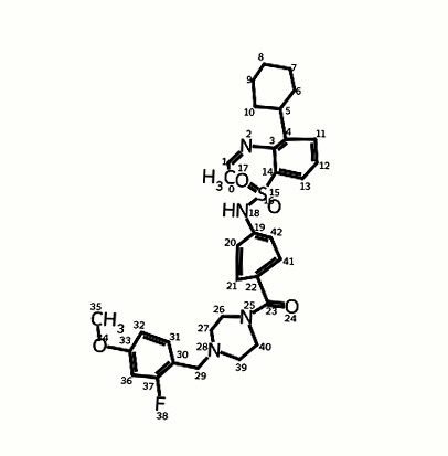 C/C=N\c1c(C2CCCCC2)cccc1S(=O)(=O)Nc1ccc(C(=O)N2CCN(Cc3ccc(OC)cc3F)CC2)cc1